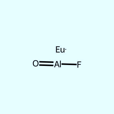 [Eu].[O]=[Al][F]